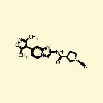 Cc1noc(C)c1-c1ccn2cc(NC(=O)[C@H]3CCN(C#N)C3)nc2c1